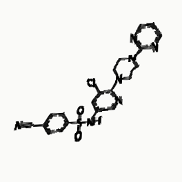 N#Cc1ccc(S(=O)(=O)Nc2cnc(N3CCN(c4ncccn4)CC3)c(Cl)c2)cc1